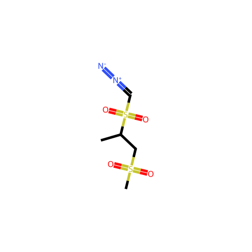 CC(CS(C)(=O)=O)S(=O)(=O)C=[N+]=[N-]